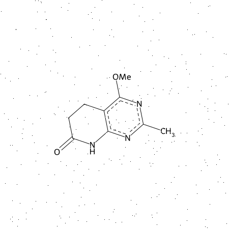 COc1nc(C)nc2c1CCC(=O)N2